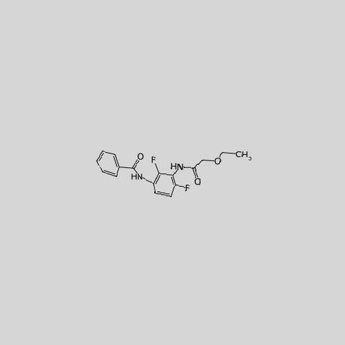 CCOCC(=O)Nc1c(F)ccc(NC(=O)c2ccccc2)c1F